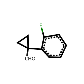 O=CC1(c2ccccc2F)CC1